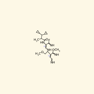 COCC(N/C=C(/NC(=O)C(C)C(C1CC1)C1CC1)C(=N)F)/C(=C/C=N)C(=N)OC